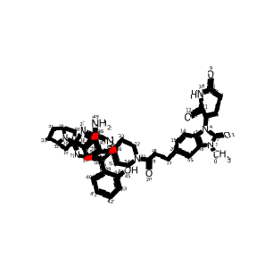 Cn1c(=O)n(C2CCC(=O)NC2=O)c2ccc(CCC(=O)N3CCC(c4cnc(N5C6CCC5CN(c5cc(-c7ccccc7O)nnc5N)C6)nc4)CC3)cc21